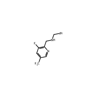 CC(C)CNCc1ncc(C(F)(F)F)cc1F